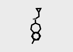 Cc1ccc2c(c1)CCC(NCC1CC1)CC2